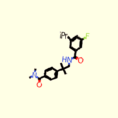 CC(C)c1cc(F)cc(C(=O)NCC(C)(C)c2ccc(C(=O)N(C)C)cc2)c1